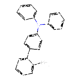 Bc1ccccc1-c1ccc(N(c2ccccc2)c2ccccc2)cc1